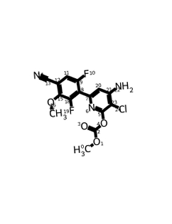 COC(=O)Oc1nc(-c2c(F)cc(C#N)c(OC)c2F)cc(N)c1Cl